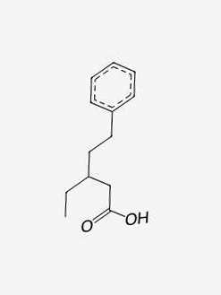 CCC(CCc1ccccc1)CC(=O)O